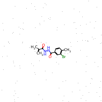 C=C(C)C(=O)NNC(=O)c1ccc(C)c(Br)c1